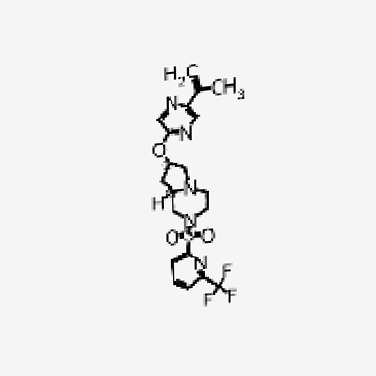 C=C(C)c1cnc(O[C@@H]2C[C@H]3CN(S(=O)(=O)c4cccc(C(F)(F)F)n4)CCN3C2)cn1